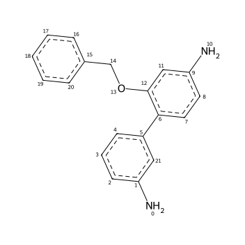 Nc1cccc(-c2ccc(N)cc2OCc2ccccc2)c1